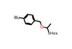 CCCCCCC(C)OCc1ccc(C(C)CC)cc1